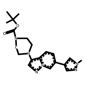 Cn1cc(-c2ccc3c(N4CCN(C(=O)OC(C)(C)C)CC4)cnn3c2)cn1